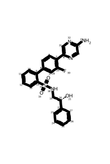 Nc1cnc(-c2ccc(-c3ccccc3S(=O)(=O)NC[C@H](O)c3ccccc3)cc2F)cn1